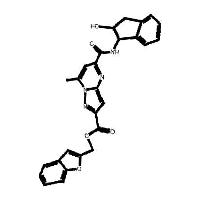 Cc1cc(C(=O)NC2c3ccccc3CC2O)nc2cc(C(=O)OCc3cc4ccccc4o3)nn12